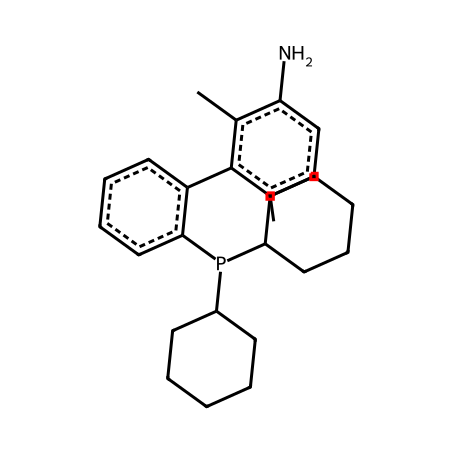 Cc1ccc(N)c(C)c1-c1ccccc1P(C1CCCCC1)C1CCCCC1